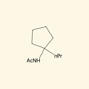 CCCC1(NC(C)=O)CCCC1